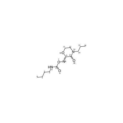 CCCCNC(=O)ON=C1OCCN(CCC)C1=O